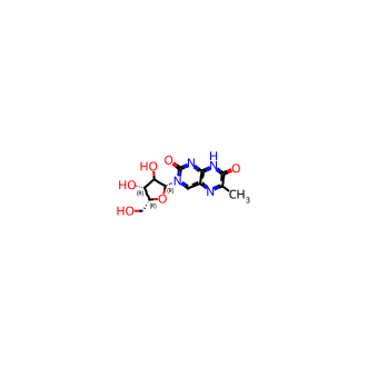 Cc1nc2cn([C@@H]3O[C@H](CO)[C@H](O)C3O)c(=O)nc2[nH]c1=O